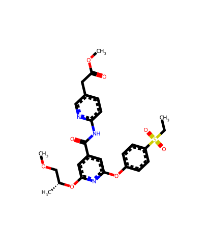 CCS(=O)(=O)c1ccc(Oc2cc(C(=O)Nc3ccc(CC(=O)OC)cn3)cc(O[C@H](C)COC)n2)cc1